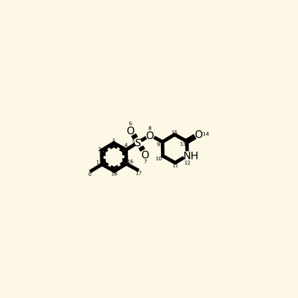 Cc1ccc(S(=O)(=O)OC2CCNC(=O)C2)c(C)c1